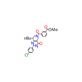 CCCCC1CN(C(=O)c2cccc(C(=O)OC)c2)Cc2c1nc(-c1ccc(Cl)cc1)n(C)c2=O